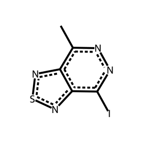 Cc1nnc(I)c2nsnc12